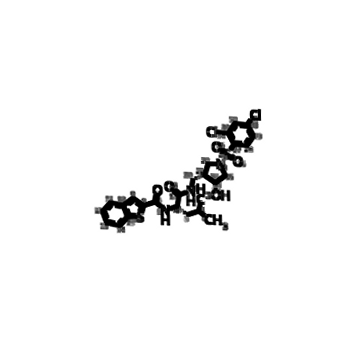 CC(C)C[C@H](NC(=O)c1cc2ccccc2s1)C(=O)NC[C@@H]1CN(S(=O)(=O)c2ccc(Cl)cc2Cl)C[C@@H]1O